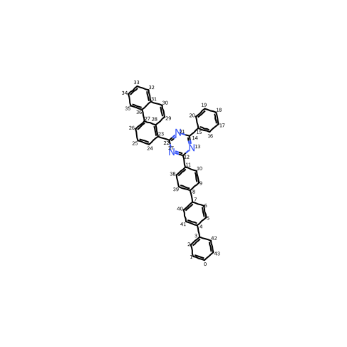 c1ccc(-c2ccc(-c3ccc(-c4nc(-c5ccccc5)nc(-c5cccc6c5ccc5ccccc56)n4)cc3)cc2)cc1